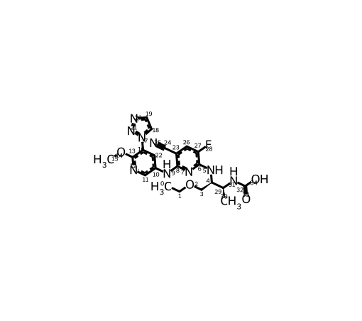 CCOC[C@@H](Nc1nc(Nc2cnc(OC)c(-n3ccnn3)c2)c(C#N)cc1F)[C@H](C)NC(=O)O